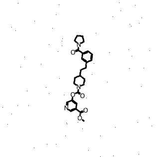 COC(=O)c1cncc(OC(=O)N2CCC(CCc3cccc(C(=O)N4CCCC4)c3)CC2)c1